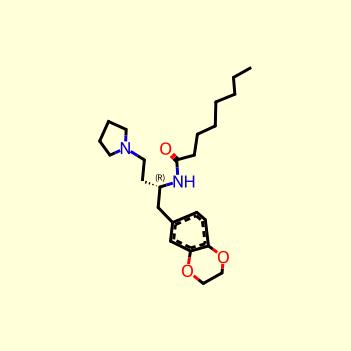 CCCCCCCC(=O)N[C@@H](CCN1CCCC1)Cc1ccc2c(c1)OCCO2